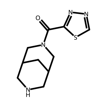 O=C(c1nncs1)N1CC2CNCC(C2)C1